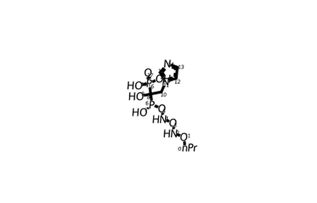 CCCONONO[P@@](O)C(O)(Cn1ccnc1)P(=O)(O)O